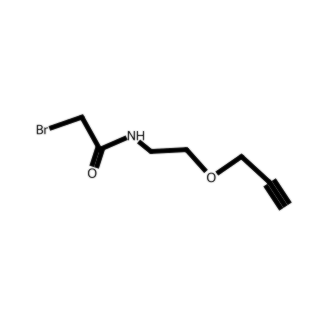 C#CCOCCNC(=O)CBr